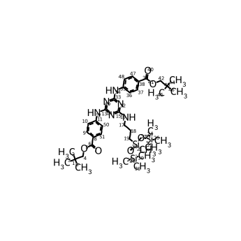 CC(C)(C)COC(=O)c1ccc(Nc2nc(NCCC[Si](C)(O[Si](C)(C)C)O[Si](C)(C)C)nc(Nc3ccc(C(=O)OCC(C)(C)C)cc3)n2)cc1